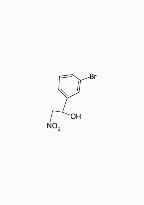 O=[N+]([O-])CC(O)c1cccc(Br)c1